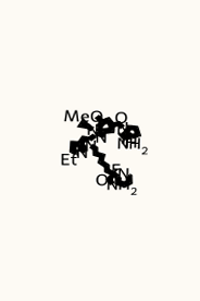 CCc1ccc2cc(-c3nc4cc(C(=O)N5C[C@H](N)[C@@H]6CCC5C6)cc(OC)c4n3C3CC3)n(CCCCCC[C@@](F)(C(N)=O)c3ccccn3)c2n1